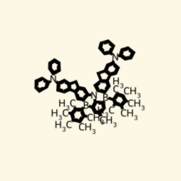 Cc1cc2c3c(c1)B(c1c(C)c(C)c(C)c(C)c1C)c1cc4c(cc1N3c1cc3c(cc1B2c1c(C)c(C)c(C)c(C)c1C)-c1ccc(N(c2ccccc2)c2ccccc2)cc1C3)Cc1cc(N(c2ccccc2)c2ccccc2)ccc1-4